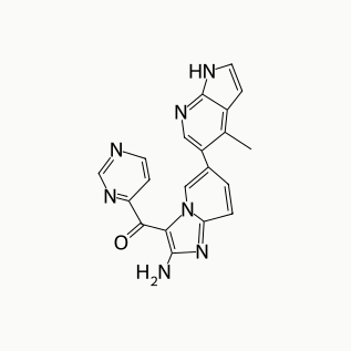 Cc1c(-c2ccc3nc(N)c(C(=O)c4ccncn4)n3c2)cnc2[nH]ccc12